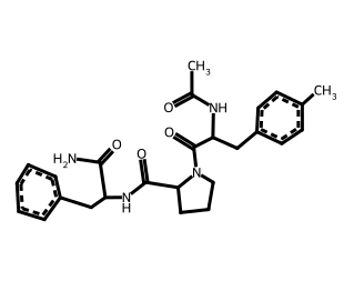 CC(=O)NC(Cc1ccc(C)cc1)C(=O)N1CCCC1C(=O)NC(Cc1ccccc1)C(N)=O